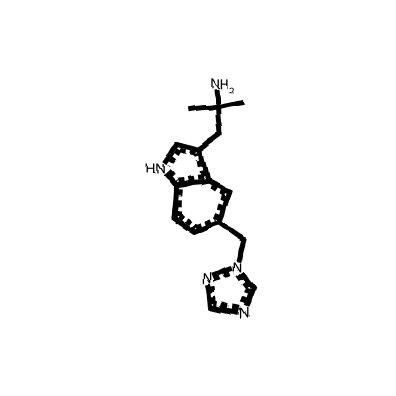 CC(C)(N)Cc1c[nH]c2ccc(Cn3cncn3)cc12